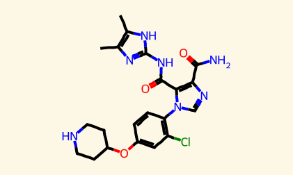 Cc1nc(NC(=O)c2c(C(N)=O)ncn2-c2ccc(OC3CCNCC3)cc2Cl)[nH]c1C